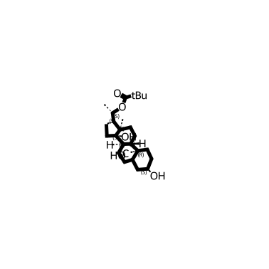 C[C@H](OC(=O)C(C)(C)C)[C@H]1CC[C@]2(O)[C@@H]3CCC4C[C@@H](O)CC[C@]4(CO)[C@H]3CC[C@]12C